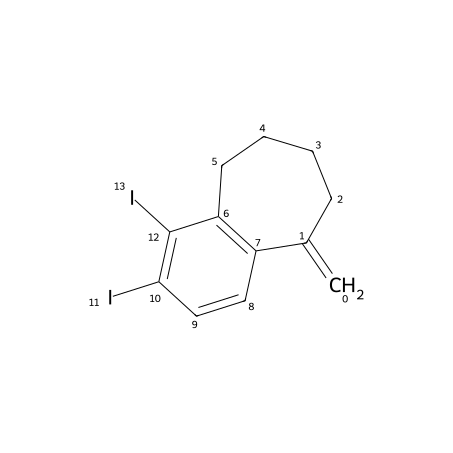 C=C1CCCCc2c1ccc(I)c2I